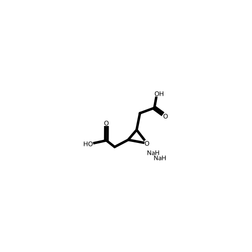 O=C(O)CC1OC1CC(=O)O.[NaH].[NaH]